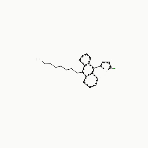 CCCCCCCCc1c2ccccc2c(-c2ccc(Br)[se]2)c2ccccc12